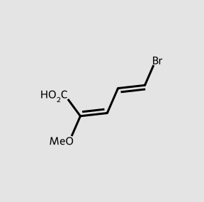 CO/C(=C/C=C/Br)C(=O)O